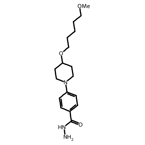 COCCCCCOC1CCN(c2ccc(C(=O)NN)cc2)CC1